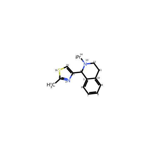 Cc1nc(C2c3ccccc3CCN2C(C)C)cs1